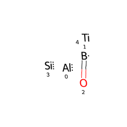 [Al].[B]=O.[Si].[Ti]